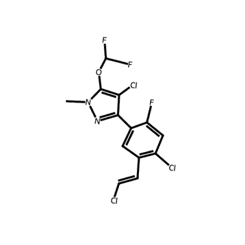 Cn1nc(-c2cc(C=CCl)c(Cl)cc2F)c(Cl)c1OC(F)F